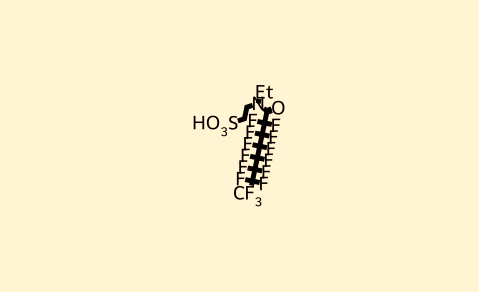 CCN(CCS(=O)(=O)O)C(=O)C(F)(F)C(F)(F)C(F)(F)C(F)(F)C(F)(F)C(F)(F)C(F)(F)F